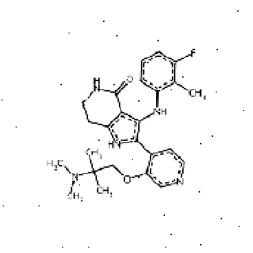 Cc1c(F)cccc1Nc1c(-c2ccncc2OCC(C)(C)N(C)C)[nH]c2c1C(=O)NCC2